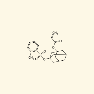 C=CC(=O)OC12CC3CC(C1)CC(OS(=O)(=O)c1ccccc1C)(C3)C2